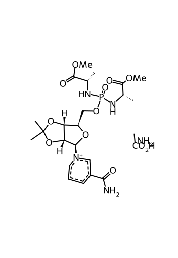 CC(=O)O.COC(=O)[C@H](C)NP(=O)(N[C@@H](C)C(=O)OC)OC[C@H]1O[C@@H]([n+]2cccc(C(N)=O)c2)[C@@H]2OC(C)(C)O[C@@H]21.N